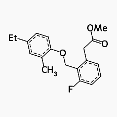 CCc1ccc(OCc2c(F)cccc2CC(=O)OC)c(C)c1